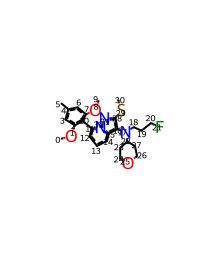 COc1cc(C)cc(OC)c1-c1cccc2c(N(CCCF)C3CCOCC3)c(SC)nn12